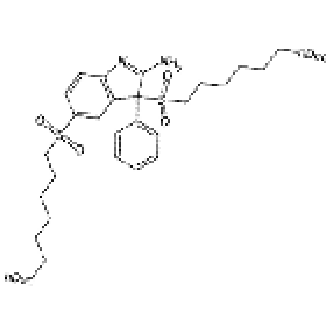 CCCCCCCCCCCCCCCCS(=O)(=O)c1ccc2c(c1)C(c1ccccc1)(S(=O)(=O)CCCCCCCCCCCCCCCC)C(N)=N2